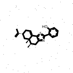 C=C(C)[C@@H]1CC=C2c3sc(-c4ccccc4O)nc3C[C@@H](C)[C@]2(C)C1